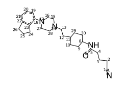 N#CCCCC(=O)NC1CCC(CCN2CCN(c3cccc4c3CCC4)CC2)CC1